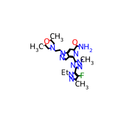 CCn1nc(C)c(F)c1-c1nc(-c2nc(C(N)=O)cc3c2cnn3CCN2C[C@@H](C)O[C@@H](C)C2)n(C)n1